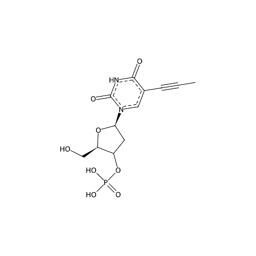 CC#Cc1cn([C@H]2CC(OP(=O)(O)O)[C@@H](CO)O2)c(=O)[nH]c1=O